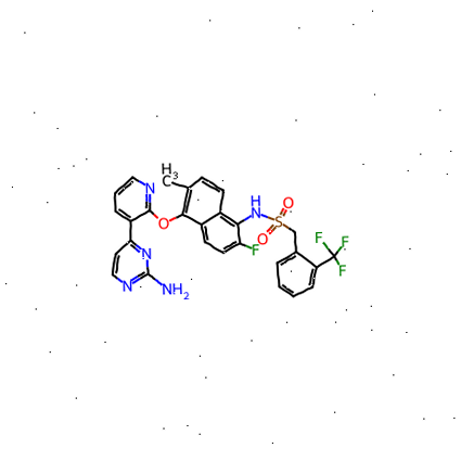 Cc1ccc2c(NS(=O)(=O)Cc3ccccc3C(F)(F)F)c(F)ccc2c1Oc1ncccc1-c1ccnc(N)n1